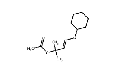 CC(=O)OC(C)(C)C=COC1CCCCC1